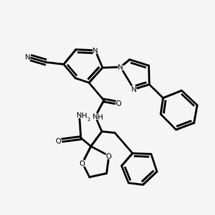 N#Cc1cnc(-n2ccc(-c3ccccc3)n2)c(C(=O)NC(Cc2ccccc2)C2(C(N)=O)OCCO2)c1